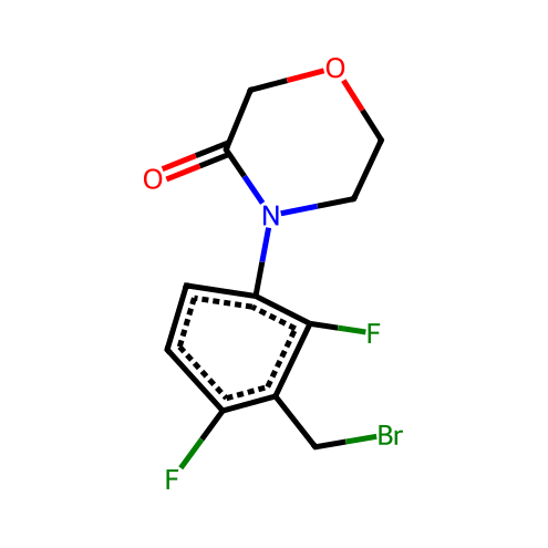 O=C1COCCN1c1ccc(F)c(CBr)c1F